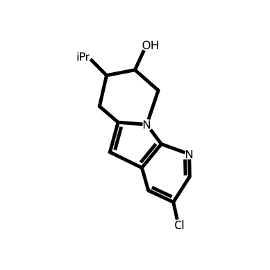 CC(C)C1Cc2cc3cc(Cl)cnc3n2CC1O